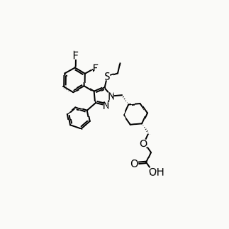 CCSc1c(-c2cccc(F)c2F)c(-c2ccccc2)nn1C[C@H]1CC[C@@H](COCC(=O)O)CC1